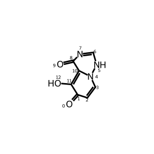 O=c1ccn2[nH]cnc(=O)c2c1O